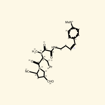 CNc1ccc(/C=C\CCNC(=O)C(=O)N(C)[C@@H](CC(C)C)C(=O)N2CC(C=O)CC2C#N)cc1